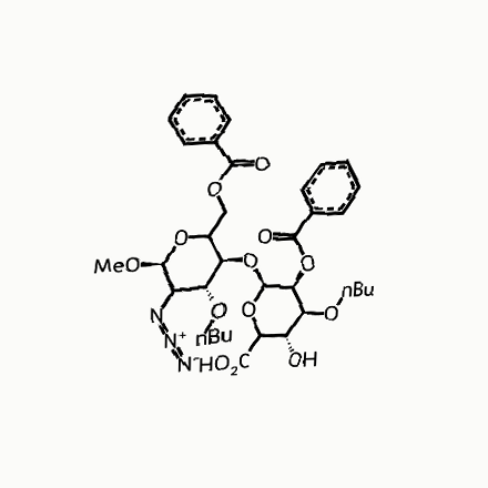 CCCCOC1[C@H](O)C(C(=O)O)O[C@@H](O[C@@H]2C(COC(=O)c3ccccc3)O[C@H](OC)C(N=[N+]=[N-])[C@H]2OCCCC)[C@H]1OC(=O)c1ccccc1